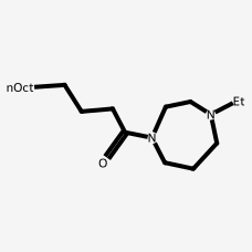 CCCCCCCCCCCC(=O)N1CCCN(CC)CC1